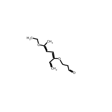 C=C/C(=C\C=C(/C)OCC)OCCC=O